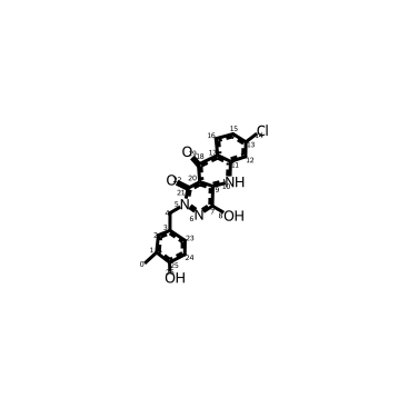 Cc1cc(Cn2nc(O)c3[nH]c4cc(Cl)ccc4c(=O)c3c2=O)ccc1O